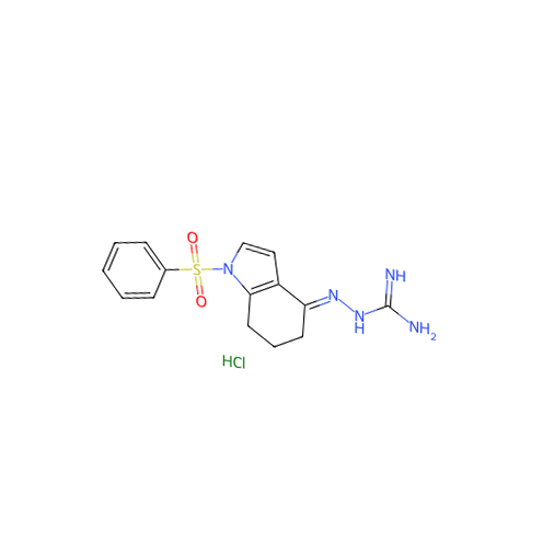 Cl.N=C(N)NN=C1CCCc2c1ccn2S(=O)(=O)c1ccccc1